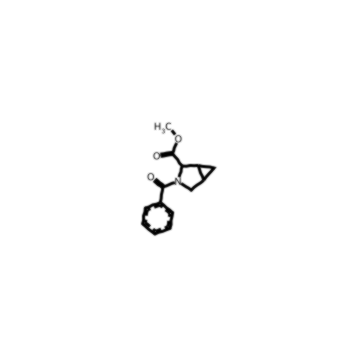 COC(=O)C1C2CC2CN1C(=O)c1ccccc1